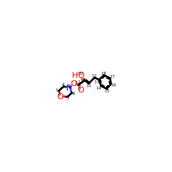 O=C(ON1CCOCC1)C(O)=CCc1ccccc1